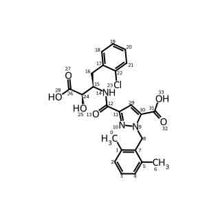 Cc1cccc(C)c1Cn1nc(C(=O)N[C@H](Cc2ccccc2Cl)[C@@H](O)C(=O)O)cc1C(=O)O